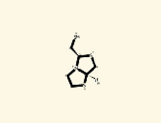 SC[C@H]1SC[C@H]2SCCN12